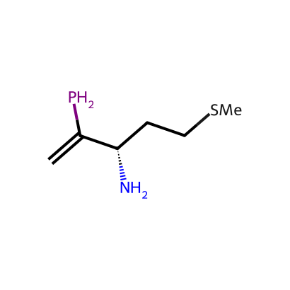 C=C(P)[C@@H](N)CCSC